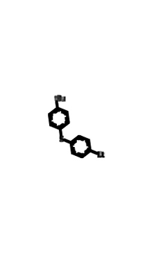 CCc1ccc(Sc2ccc(C(C)(C)C)cc2)cc1